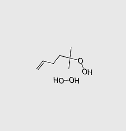 C=CCCC(C)(C)OO.OO